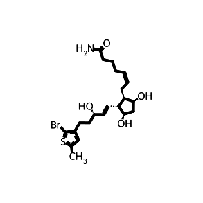 Cc1cc(CC[C@H](O)/C=C/[C@@H]2[C@@H](C/C=C\CCCC(N)=O)[C@@H](O)C[C@H]2O)c(Br)s1